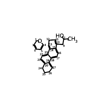 C1=CCOC=C1.CC(O)CC1=CCC=c2c1ccc1c3c(ccc21)CCCC=3